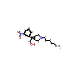 CCCCCCN1CC2C(C1)C2(CO)c1cccc([N+](=O)[O-])c1